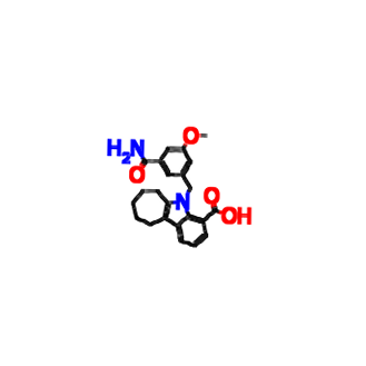 COc1cc(Cn2c3c(c4cccc(C(=O)O)c42)CCCCC3)cc(C(N)=O)c1